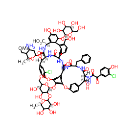 COCC1C(N)CC(O[C@@H]2c3ccc(c(Cl)c3)Oc3cc4cc(c3O[C@@H]3OC(CO)[C@@H](O)C(O)C3OC3O[C@@H](C)C(O)C(O)[C@@H]3O)Oc3ccc(cc3)[C@@H](O)[C@@H](NC(=O)C(=O)c3ccc(O)c(Cl)c3)C(=O)NC(Cc3ccccc3)C(=O)N[C@@H]4C(=O)N[C@@H]3C(=O)N[C@@H]2C(=O)N[C@H](C(=O)O)C2=CC(O)=CC(O[C@@H]4OC(CO)[C@@H](O)C(O)C4O)C2c2cc3ccc2CO)O[C@H]1C